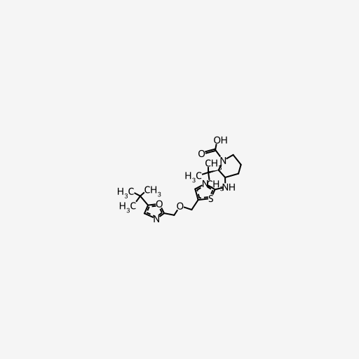 CC(C)(C)c1cnc(COCc2cnc(NC3CCCN(C(=O)O)[C@@H]3C(C)(C)C)s2)o1